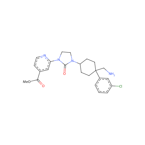 COC(=O)c1ccnc(N2CCN(C3CCC(CN)(c4cccc(Cl)c4)CC3)C2=O)c1